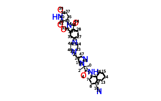 CC(C)(C(=O)Nc1ccc(C#N)c2ccccc12)n1cc(CN2CCN(c3ccc4c(c3)C(=O)N(C3CCC(=O)NC3=O)C4=O)CC2)cn1